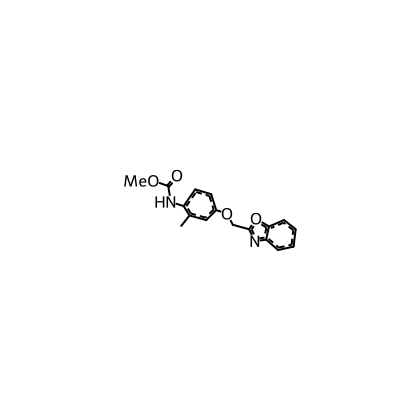 COC(=O)Nc1ccc(OCc2nc3ccccc3o2)cc1C